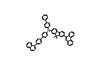 CC1(C)c2cc(-c3cc4ccccc4c4ccccc34)ccc2-c2ccc(N(c3ccc(-c4ccccc4)cc3)c3ccc(-c4ccc(-c5cccc6ccccc56)cc4)cc3)cc21